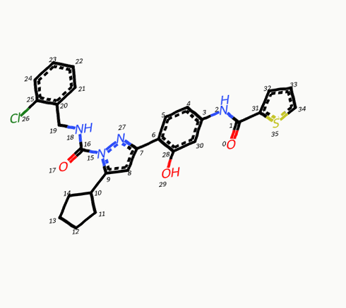 O=C(Nc1ccc(-c2cc(C3CCCC3)n(C(=O)NCc3ccccc3Cl)n2)c(O)c1)c1cccs1